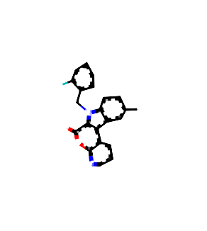 O=c1oc2ncccc2c2c3cc(C(F)(F)F)ccc3n(Cc3ccccc3F)c12